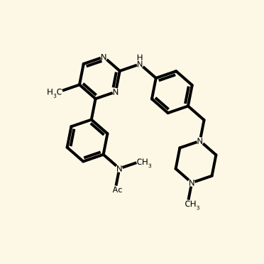 CC(=O)N(C)c1cccc(-c2nc(Nc3ccc(CN4CCN(C)CC4)cc3)ncc2C)c1